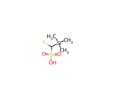 C[Si](C)(C)C(F)S(=O)(=O)O